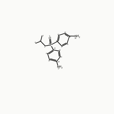 CC(C)CP(=O)(c1ccc(N)cc1)c1ccc(N)cc1